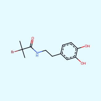 CC(C)(Br)C(=O)NCCc1ccc(O)c(O)c1